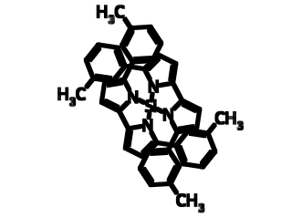 Cc1cccc(-c2ccc3n2[Si]2(n4c(-c5cccc(C)c5)ccc4-3)n3c(-c4cccc(C)c4)ccc3-c3ccc(-c4cccc(C)c4)n32)c1